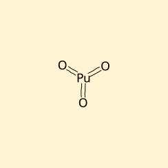 [O]=[Pu](=[O])=[O]